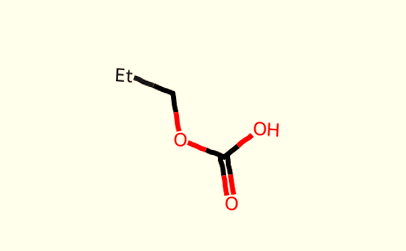 [CH2]CCOC(=O)O